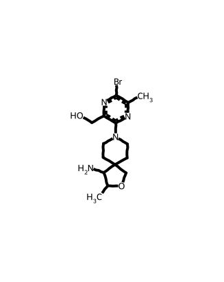 Cc1nc(N2CCC3(CC2)COC(C)C3N)c(CO)nc1Br